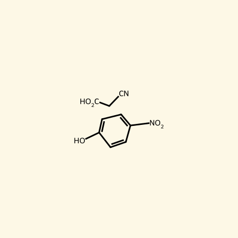 N#CCC(=O)O.O=[N+]([O-])c1ccc(O)cc1